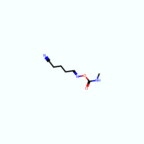 CNC(=O)ON=CCCCC#N